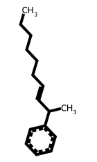 CCCCCCC=CC(C)c1ccccc1